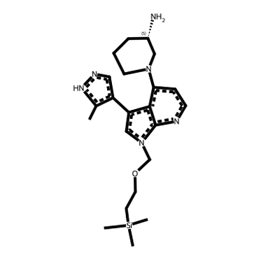 Cc1[nH]ncc1-c1cn(COCC[Si](C)(C)C)c2nccc(N3CCC[C@H](N)C3)c12